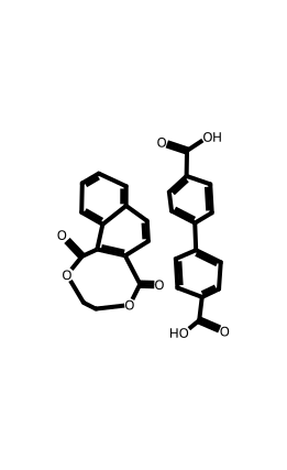 O=C(O)c1ccc(-c2ccc(C(=O)O)cc2)cc1.O=C1OCCOC(=O)c2c1ccc1ccccc21